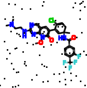 COn1c(=O)c(C2=CC(C)(NC(=O)c3ccc(C(F)(F)F)c(F)c3)CC=C2Cl)cc2cnc(NCCN(C)C)nc21